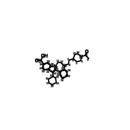 CC(=O)N1CCC(CCN2CCn3c(c(C4CCCCC4)c4ccc(C(=O)O)cc43)-c3ccccc32)CC1